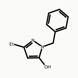 [CH2]Cc1cc(O)n(Cc2ccccc2)n1